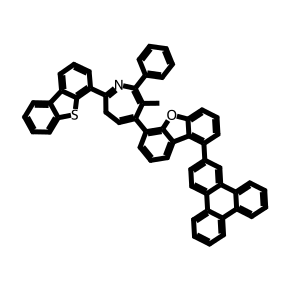 CC1=C(c2ccccc2)N=C(c2cccc3c2sc2ccccc23)CC=C1c1cccc2c1oc1cccc(-c3ccc4c5ccccc5c5ccccc5c4c3)c12